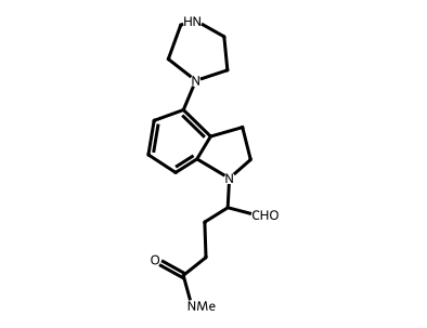 CNC(=O)CCC(C=O)N1CCc2c(N3CCNCC3)cccc21